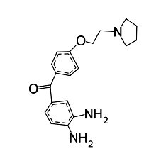 Nc1ccc(C(=O)c2ccc(OCCN3CCCC3)cc2)cc1N